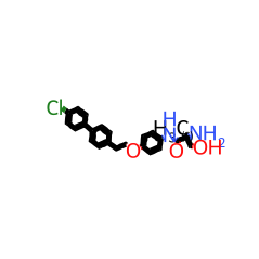 C[C@](N)(CO)C(=O)Nc1ccc(OCCc2ccc(-c3ccc(Cl)cc3)cc2)cc1